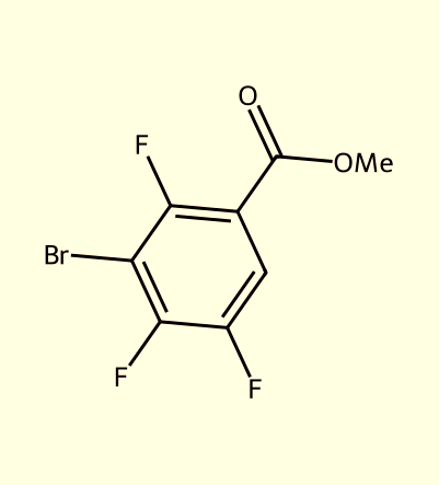 COC(=O)c1cc(F)c(F)c(Br)c1F